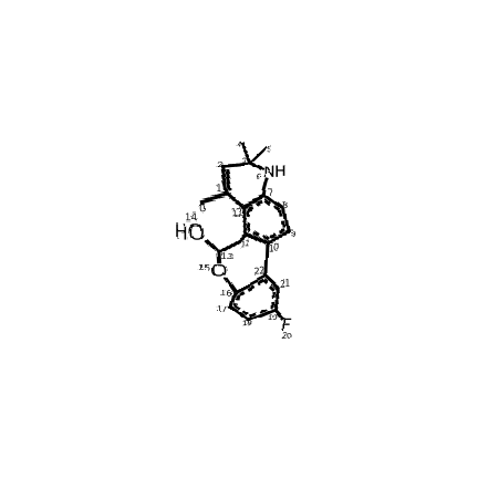 CC1=CC(C)(C)Nc2ccc3c(c21)C(O)Oc1ccc(F)cc1-3